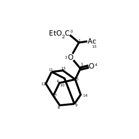 CCOC(=O)C(OC(=O)C12CC3CC(CC(C3)C1)C2)C(C)=O